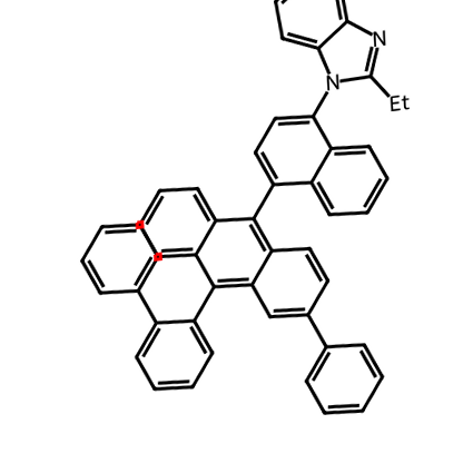 CCc1nc2ccccc2n1-c1ccc(-c2c3ccccc3c(-c3ccccc3-c3ccccc3)c3cc(-c4ccccc4)ccc23)c2ccccc12